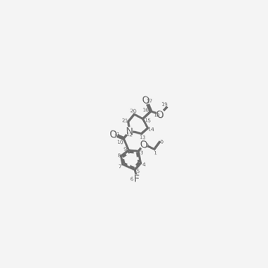 CCOc1cc(F)ccc1C(=O)N1CCC(C(=O)OC)CC1